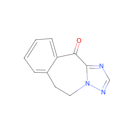 O=C1c2ccccc2CCn2ncnc21